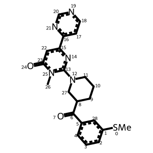 CSc1cccc(C(=O)C2CCCN(c3nc(-c4ccncn4)cc(=O)n3C)C2)c1